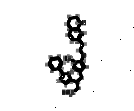 Cn1nc(CC(CC(=O)O)c2cnc(-c3ccccc3)s2)cc1OCCc1ccc2c(n1)NCCC2